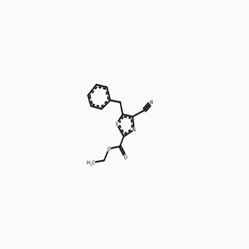 CCOC(=O)c1nc(C#N)c(Cc2ccccc2)s1